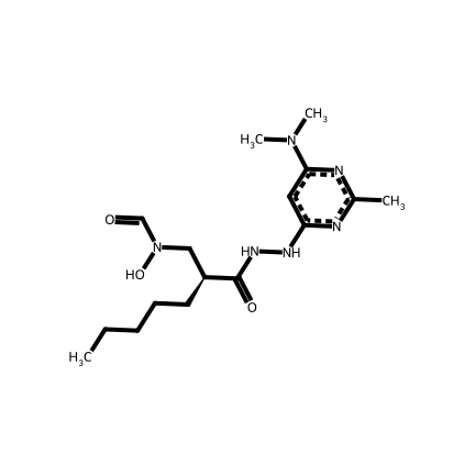 CCCCC[C@@H](CN(O)C=O)C(=O)NNc1cc(N(C)C)nc(C)n1